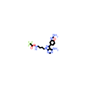 Nc1nc2cc(-c3nn(CCCCNOC(=O)C(F)(F)F)c4ncnc(N)c34)ccc2o1